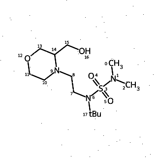 CN(C)S(=O)(=O)N(CCN1CCOCC1CO)C(C)(C)C